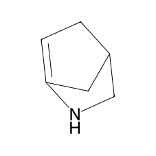 C1=C2CC(C1)CN2